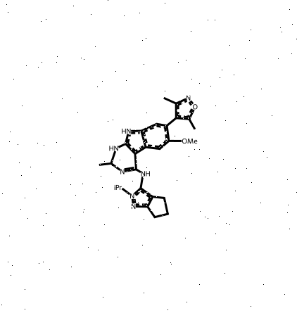 COc1cc2c3c([nH]c2cc1-c1c(C)noc1C)NC(C)N=C3Nc1c2c(nn1C(C)C)CCC2